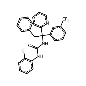 O=C(Nc1ccccc1F)NC(Cc1ccccc1)(c1cccc(C(F)(F)F)c1)c1ccccn1